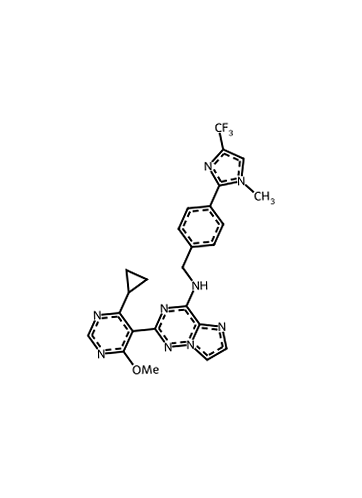 COc1ncnc(C2CC2)c1-c1nc(NCc2ccc(-c3nc(C(F)(F)F)cn3C)cc2)c2nccn2n1